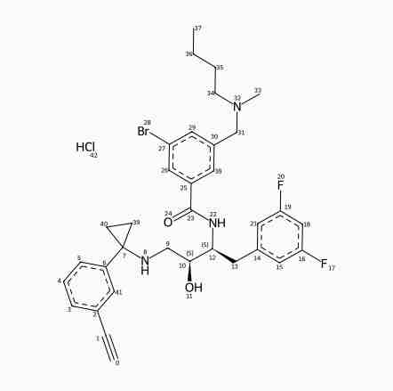 C#Cc1cccc(C2(NC[C@H](O)[C@H](Cc3cc(F)cc(F)c3)NC(=O)c3cc(Br)cc(CN(C)CCCC)c3)CC2)c1.Cl